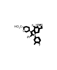 Cc1cc(-n2c(C(C)C)c([C@@H]3CC[C@@H](C(=O)O)OC3)c3c(F)c4[nH]ncc4cc32)ccc1F